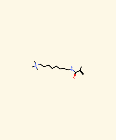 C=C(C)C(=O)NCCCCCCCC[N+](C)(C)C